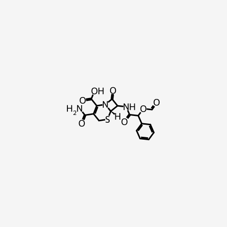 NC(=O)C1=C(C(=O)O)N2C(=O)C(NC(=O)C(OC=O)c3ccccc3)[C@@H]2SC1